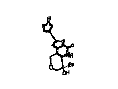 CC[C@@H](C)[C@]1(O)COCc2c1[nH]c(=O)c1sc(-c3cn[nH]c3)cc21